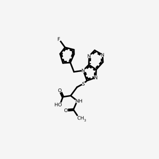 CC(=O)NC(CSc1nc2cncnc2n1Cc1ccc(F)cc1)C(=O)O